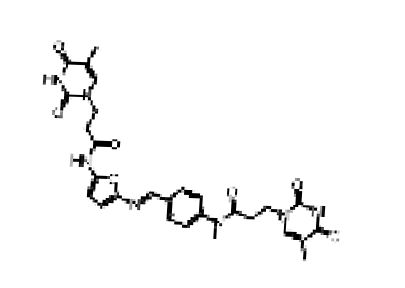 Cc1cn(CCC(=O)Nc2ccc(/C=N/c3ccc(NC(=O)CCn4cc(C)c(=O)[nH]c4=O)o3)cc2)c(=O)[nH]c1=O